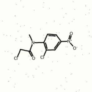 CN(C(=O)CCl)c1ccc([N+](=O)[O-])cc1Cl